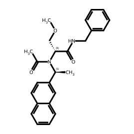 COC[C@H](C(=O)NCc1ccccc1)N(C(C)=O)[C@@H](C)c1ccc2ccccc2c1